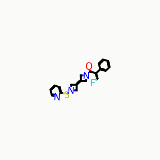 O=C(C(CF)c1ccccc1)N1CC(=C2CN(Sc3ccccn3)C2)C1